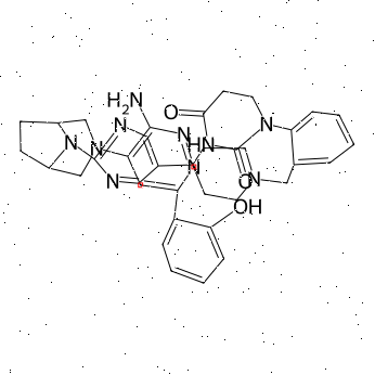 Nc1nnc(-c2ccccc2O)cc1N1CC2CCC(C1)N2c1ncc(C2CCN(Cc3ccccc3N3CCC(=O)NC3=O)CC2)cn1